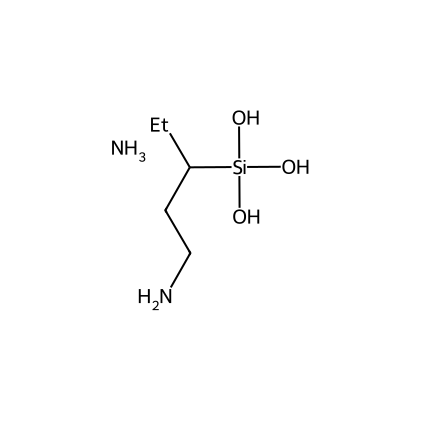 CCC(CCN)[Si](O)(O)O.N